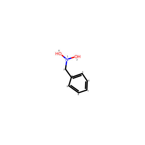 ON(O)Cc1ccccc1